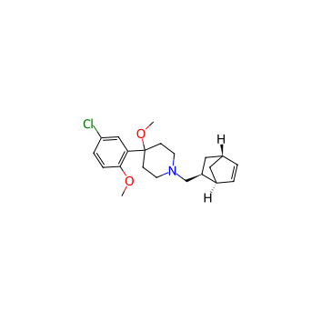 COc1ccc(Cl)cc1C1(OC)CCN(C[C@H]2C[C@@H]3C=C[C@@H]2C3)CC1